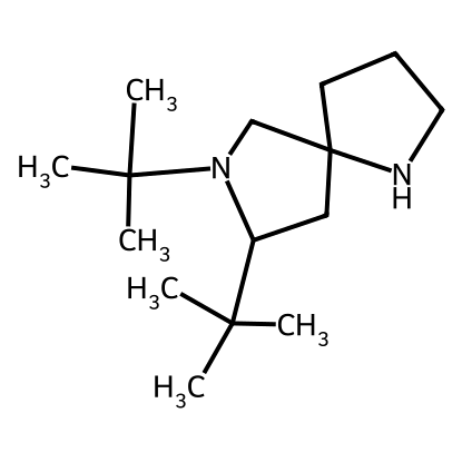 CC(C)(C)C1CC2(CCCN2)CN1C(C)(C)C